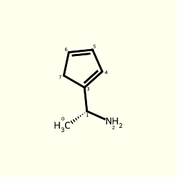 C[C@@H](N)C1=CC=CC1